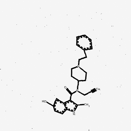 C#CCN(C(=O)c1c(C)[nH]c2ccc(O)cc12)C1CCN(CCc2ccccc2)CC1